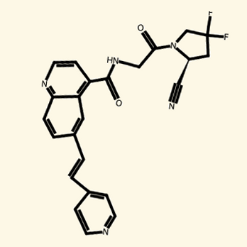 N#C[C@@H]1CC(F)(F)CN1C(=O)CNC(=O)c1ccnc2ccc(/C=C/c3ccncc3)cc12